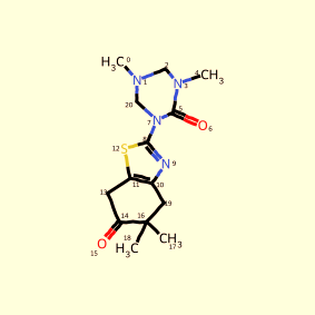 CN1CN(C)C(=O)N(c2nc3c(s2)CC(=O)C(C)(C)C3)C1